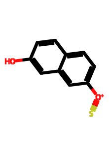 Oc1ccc2ccc([O+]=S)cc2c1